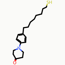 O=C1CCN(c2ccc(CCCCCCCCS)cc2)CC1